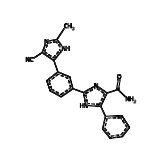 Cc1nc(C#N)c(-c2cccc(-c3nc(C(N)=O)c(-c4ccccc4)[nH]3)c2)[nH]1